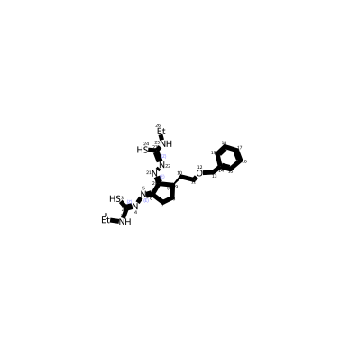 CCN/C(S)=N/N=C1\CC[C@H](CCOCc2ccccc2)\C1=N/N=C(\S)NCC